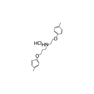 Cc1ccc(OCCCNCCOc2ccc(C)cc2)cc1.Cl